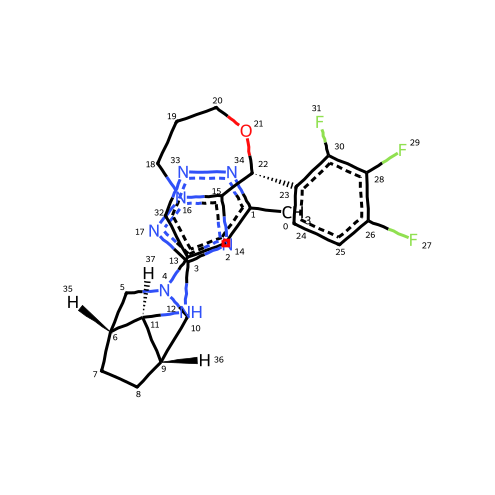 Cc1cc(N2C[C@H]3CC[C@@H](C2)[C@@H]3Nc2nc3n(n2)CCCO[C@@H]3c2ccc(F)c(F)c2F)cnn1